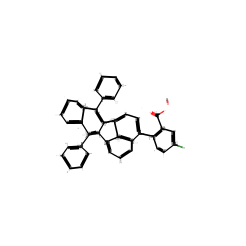 COC(=O)c1cc(Cl)ccc1-c1ccc2c3c(cccc13)-c1c-2c(-c2ccccc2)c2ccccc2c1-c1ccccc1